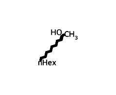 CCCCCCCCCCCCCC=C(C)O